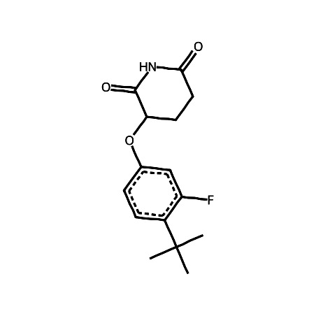 CC(C)(C)c1ccc(OC2CCC(=O)NC2=O)cc1F